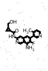 Cc1ccncc1-c1cc2cc(NC(=O)C3CC3CO)ncc2c(N)c1F